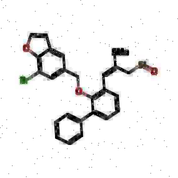 CSC(=Cc1cccc(-c2ccccc2)c1OCc1cc(Br)c2occc2c1)C[S+]=O